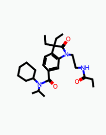 CCC(=O)NCCN1C(=O)C(CC)(CC)c2ccc(C(=O)N(C(C)C)C3CCCCC3)cc21